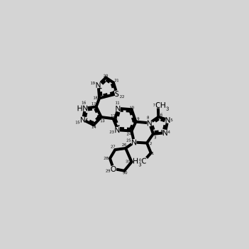 CCC1c2nnc(C)n2-c2cnc(-c3cn[nH]c3-c3nccs3)nc2N1C1CCOCC1